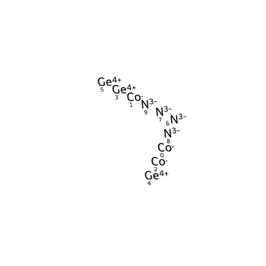 [Co].[Co].[Co].[Ge+4].[Ge+4].[Ge+4].[N-3].[N-3].[N-3].[N-3]